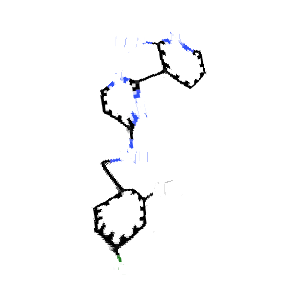 Nc1ncccc1-c1nccc(NCc2ccc(Cl)cc2C(F)(F)F)n1